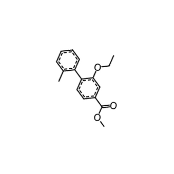 CCOc1cc(C(=O)OC)ccc1-c1ccccc1C